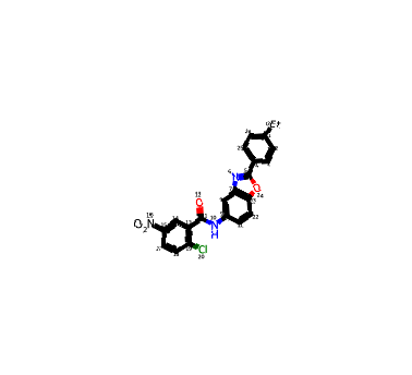 CCc1ccc(-c2nc3cc(NC(=O)c4cc([N+](=O)[O-])ccc4Cl)ccc3o2)cc1